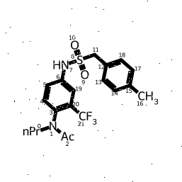 CCCN(C(C)=O)c1ccc(NS(=O)(=O)Cc2ccc(C)cc2)cc1C(F)(F)F